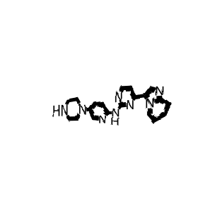 c1ccn2c(-c3ccnc(Nc4ccc(N5CCNCC5)cn4)n3)cnc2c1